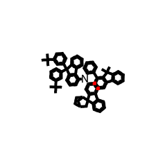 CC(C)(C)c1cccc(C2(c3cccc(C(C)(C)C)c3)c3ccccc3-c3c(N(c4ccc5c(c4)C4(CC6CCC4C6)c4ccccc4-5)c4ccccc4-c4cccc5c4C(C)(C)c4ccccc4-5)cccc32)c1